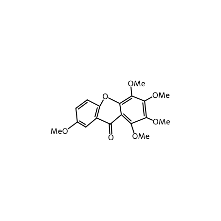 COc1ccc2oc3c(OC)c(OC)c(OC)c(OC)c3c(=O)c2c1